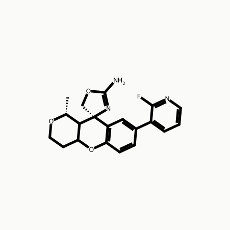 C[C@H]1OCCC2Oc3ccc(-c4cccnc4F)cc3[C@@]3(COC(N)=N3)C21